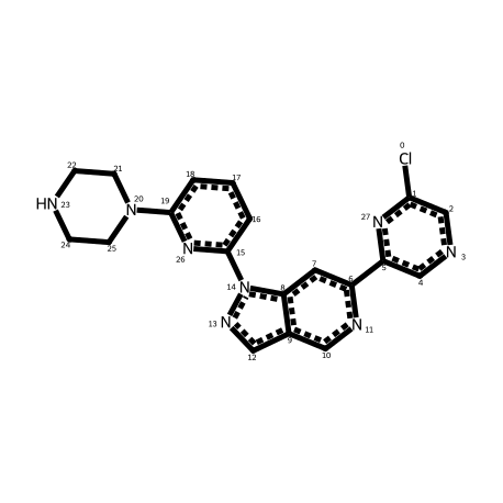 Clc1cncc(-c2cc3c(cn2)cnn3-c2cccc(N3CCNCC3)n2)n1